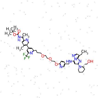 CCc1cnn2c(NCc3ccc(OCCOCCOCCCc4cc(-c5cnc([C@H](C)NC(=O)OC(C)(C)C)cc5C)cc(C(F)(F)F)n4)nc3)cc(N3CCCC[C@H]3CCO)nc12